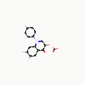 O=C(O)Oc1cn(-c2ccc(F)cc2)c2cc(F)c(F)cc2c1=O